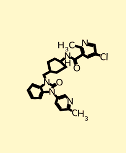 Cc1ccc(-n2c(=O)n(CC3CCC(NC(=O)c4cc(Cl)cnc4C)CC3)c3ccccc32)cn1